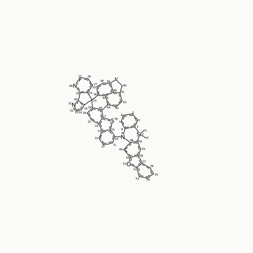 C[Si]1(C)c2ccccc2N(c2cccc3c2sc2c4c(ccc23)C2(c3cccnc3-c3ncccc32)c2ccc3c5c(ccc-4c25)CC3)c2cc3oc4ccccc4c3cc21